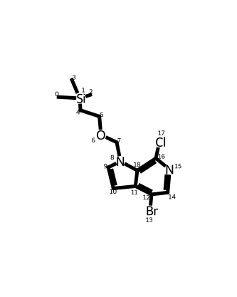 C[Si](C)(C)CCOCn1ccc2c(Br)cnc(Cl)c21